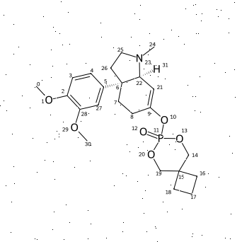 COc1ccc([C@@]23CCC(OP4(=O)OCC5(CCC5)CO4)=C[C@@H]2N(C)CC3)cc1OC